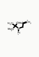 C=CCN(C(C)=O)C(C)(OC)OC